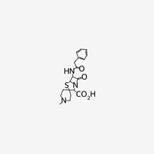 CN1CCC2(CC1)SC1C(NC(=O)Cc3ccccc3)C(=O)N1C2C(=O)O